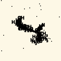 CC1=C(C)C(=O)C(C(C)(C)CC(=O)N(C)CCN(CCCCCC(=O)NCCCCC(NC(=O)CC[C@@H](C)[C@H]2CC[C@H]3[C@@H]4CC[C@@H]5C[C@H](O)CC[C@]5(C)[C@H]4C[C@@H]4O[C@@]423)C(=O)O)C(=O)Oc2ccc3nc(C#N)sc3c2)=C(C)C1=O